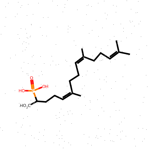 CC(C)=CCCC(C)=CCCC(C)=CCCC(C(=O)O)P(=O)(O)O